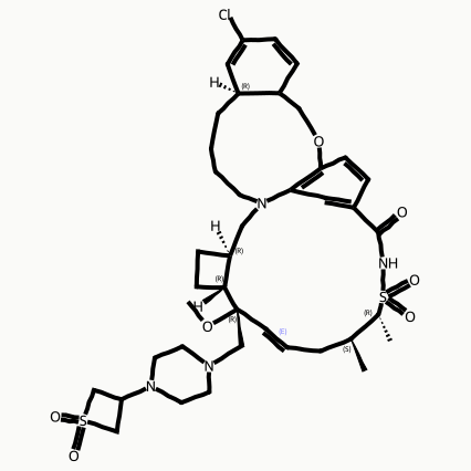 CO[C@@]1(CN2CCN(C3CS(=O)(=O)C3)CC2)/C=C/C[C@H](C)[C@@H](C)S(=O)(=O)NC(=O)c2ccc3c(c2)N(CCCC[C@H]2C=C(Cl)C=CC2CO3)C[C@@H]2CC[C@H]21